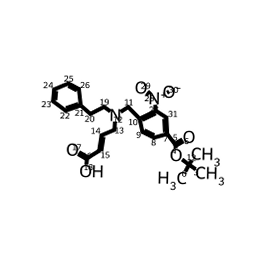 CC(C)(C)OC(=O)c1ccc(CN(CC=CC(=O)O)CCc2ccccc2)c([N+](=O)[O-])c1